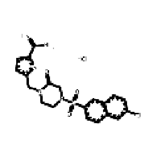 Cl.N=C(N)c1ccc(CN2CCN(S(=O)(=O)c3ccc4cc(Cl)ccc4c3)CC2=O)s1